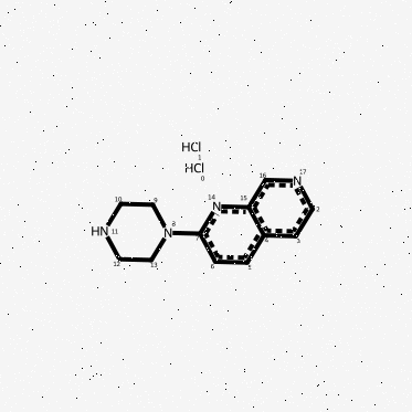 Cl.Cl.c1cc2ccc(N3CCNCC3)nc2cn1